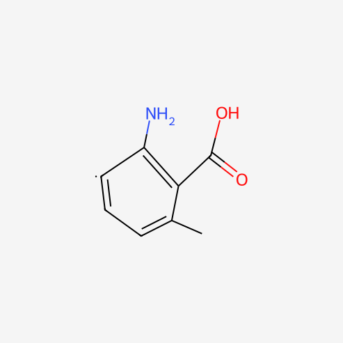 Cc1cc[c]c(N)c1C(=O)O